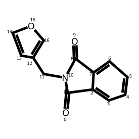 O=C1c2ccccc2C(=O)N1Cc1ccoc1